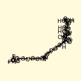 O=C(CCOCCOCCOCCOCCn1cc(COCCOCCOCCOCCNC(=O)C2COCCN2c2nc(Cl)nc3c2cnn3[C@@H]2O[C@H](COP(=O)(O)CP(=O)(O)O)[C@@H](O)[C@H]2O)nn1)Oc1c(F)cc(F)cc1F